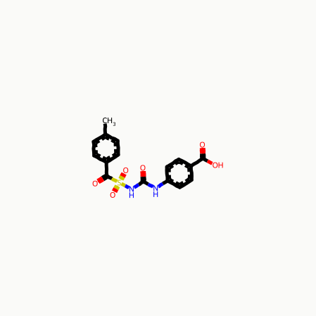 Cc1ccc(C(=O)S(=O)(=O)NC(=O)Nc2ccc(C(=O)O)cc2)cc1